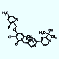 C\C=C(/N=C\C(C)=C\n1c(C)cc(OCc2ncc(C)cc2F)c(Cl)c1=O)c1ccnc(C(C)(C)O)n1